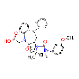 COc1cccc(NC(=O)N(C2CC(c3ccccc3)c3ccccc3N(CC(=O)O)C2=O)C(C)(C)C)c1